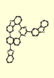 c1ccc(-c2nc(-c3ccc4oc5ccccc5c4c3)nc(-c3cccc4oc5ccc(-c6ccc(-c7nc8ccccc8s7)cc6)cc5c34)n2)cc1